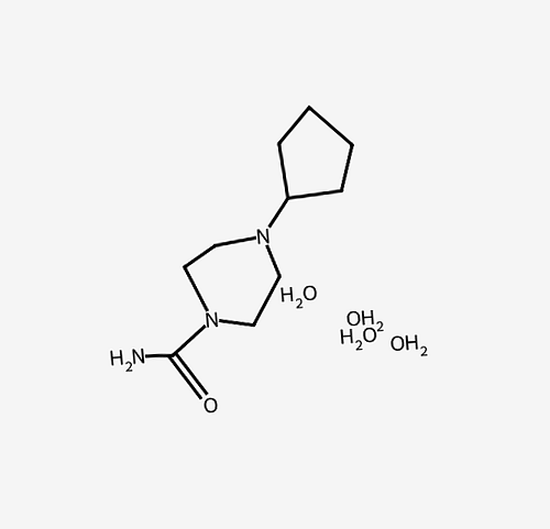 NC(=O)N1CCN(C2CCCC2)CC1.O.O.O.O